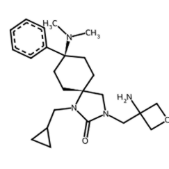 CN(C)[C@]1(c2ccccc2)CC[C@@]2(CC1)CN(CC1(N)COC1)C(=O)N2CC1CC1